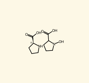 O=C(O)C1CCCN1O.O=C(O)[C@@H]1CCCN1